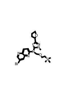 CN1N=C(C2CCCO2)SC1N(COCC[Si](C)(C)C)c1ccc2ncc(Br)cc2n1